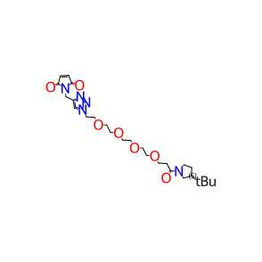 CC(C)(C)[C@@H]1CCN(C(=O)CCOCCOCCOCCOCCn2cc(CN3C(=O)C=CC3=O)nn2)C1